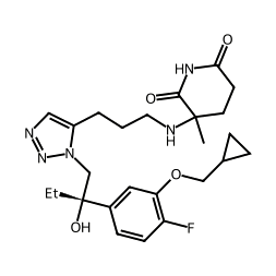 CC[C@@](O)(Cn1nncc1CCCNC1(C)CCC(=O)NC1=O)c1ccc(F)c(OCC2CC2)c1